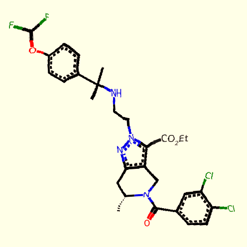 CCOC(=O)c1c2c(nn1CCNC(C)(C)c1ccc(OC(F)F)cc1)C[C@@H](C)N(C(=O)c1ccc(Cl)c(Cl)c1)C2